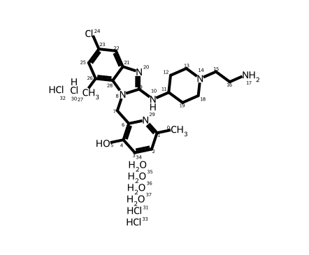 Cc1ccc(O)c(Cn2c(NC3CCN(CCN)CC3)nc3cc(Cl)cc(C)c32)n1.Cl.Cl.Cl.Cl.O.O.O.O